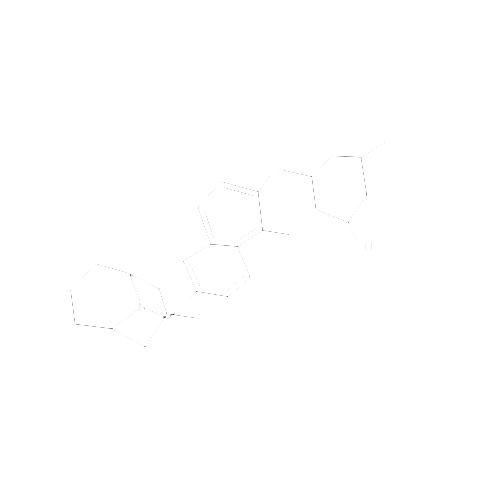 CC1CC(C)CC(Oc2ccc3cc(CN4C5CCCC4CC(C(=O)O)C5)ccc3c2C(F)(F)F)C1